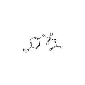 CCC(=O)OS(=O)(=O)Oc1ccc(N)cc1